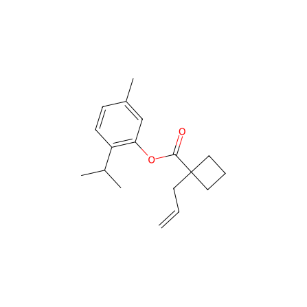 C=CCC1(C(=O)Oc2cc(C)ccc2C(C)C)CCC1